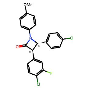 COc1ccc(N2C(=O)[C@H](c3ccc(Cl)c(F)c3)[C@H]2c2ccc(Cl)cc2)cc1